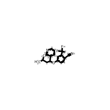 CC(C)CC(Oc1ccc(C#N)c(C(F)(F)F)c1)c1cccnc1